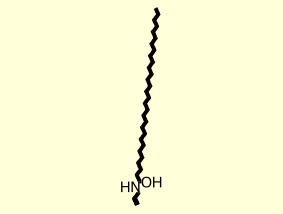 C=CCNC(O)CCCCCCCCCCCCCCCCCCCCCCCCCCCCC